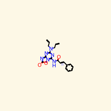 C=CCN(CC=C)c1nc(NC(=O)/C=C/c2ccccc2)n2oc(=O)nc2n1